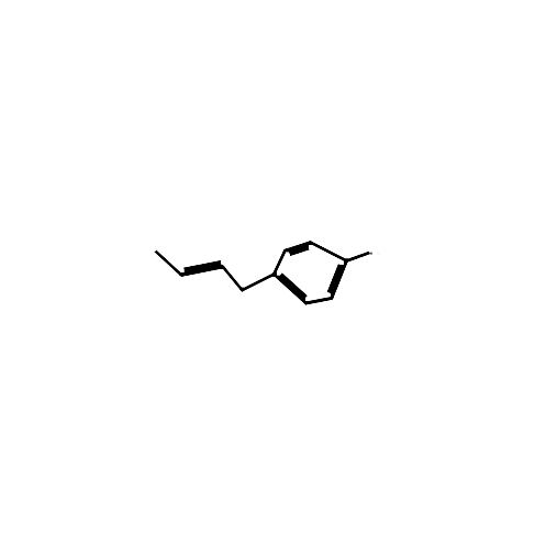 CC=CCc1ccc(CCC)cc1